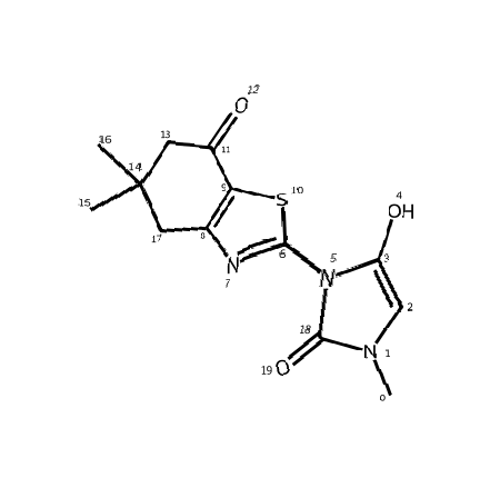 Cn1cc(O)n(-c2nc3c(s2)C(=O)CC(C)(C)C3)c1=O